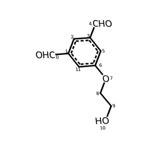 O=Cc1cc(C=O)cc(OCCO)c1